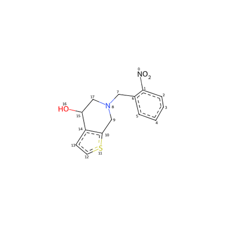 O=[N+]([O-])c1ccccc1CN1Cc2sccc2C(O)C1